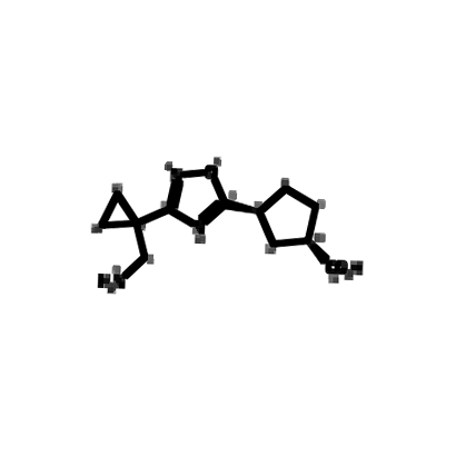 NCC1(c2noc([C@H]3CC[C@@H](C(=O)O)C3)n2)CC1